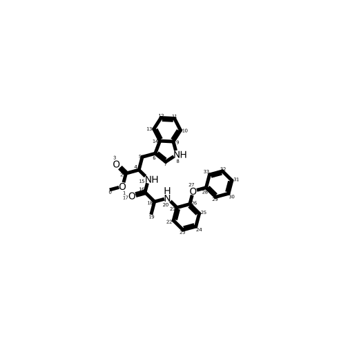 COC(=O)C(Cc1c[nH]c2ccccc12)NC(=O)C(C)Nc1ccccc1Oc1ccccc1